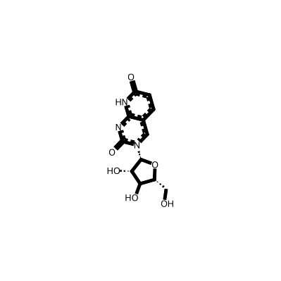 O=c1ccc2cn([C@@H]3O[C@H](CO)C(O)[C@@H]3O)c(=O)nc2[nH]1